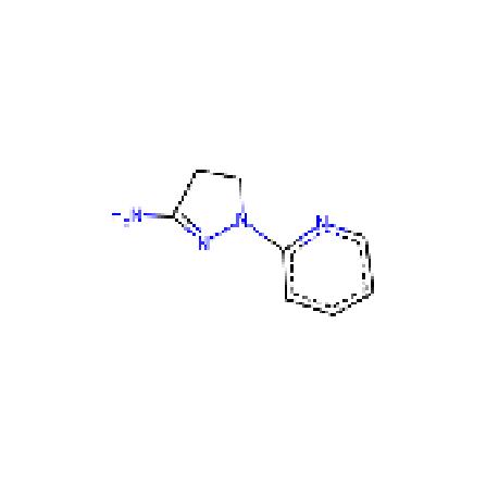 NC1=NN(c2ccccn2)CC1